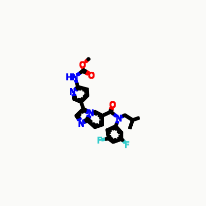 COC(=O)Nc1ccc(-c2cnc3ccc(C(=O)N(CC(C)C)c4cc(F)cc(F)c4)cn23)cn1